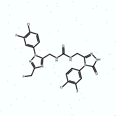 O=C(NCc1nc(CF)nn1-c1ccc(Cl)c(F)c1)NCc1n[nH]c(=O)n1-c1ccc(Cl)c(F)c1